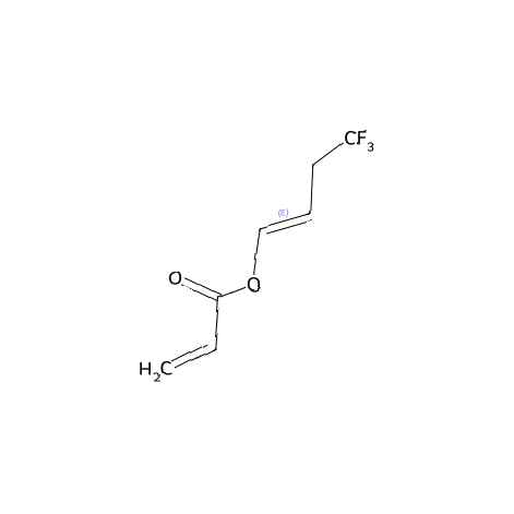 C=CC(=O)O/C=C/CC(F)(F)F